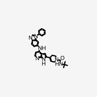 CC(C)(C)NC(=O)N1CC=C(c2cc3c(Nc4ccc5ncn(-c6ccccc6)c5c4)ccnc3[nH]2)CC1